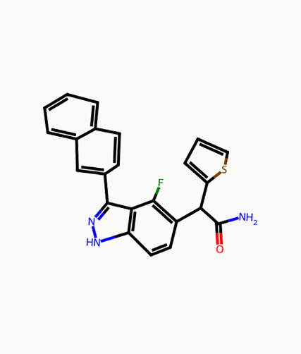 NC(=O)C(c1cccs1)c1ccc2[nH]nc(-c3ccc4ccccc4c3)c2c1F